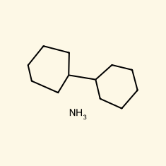 C1CCC(C2CCCCC2)CC1.N